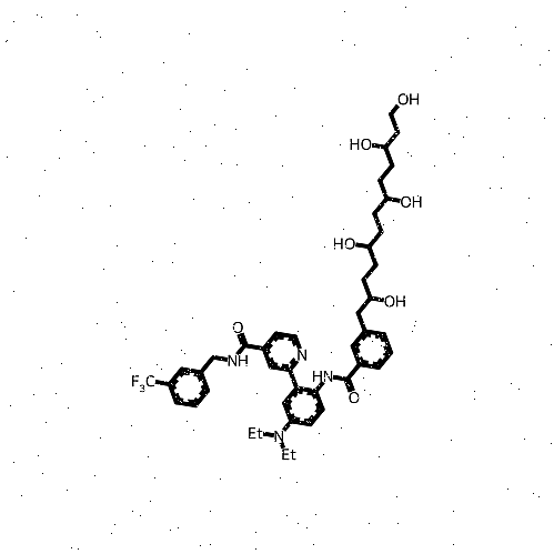 CCN(CC)c1ccc(NC(=O)c2cccc(CC(O)CCC(O)CCC(O)CCC(O)CCO)c2)c(-c2cc(C(=O)NCc3cccc(C(F)(F)F)c3)ccn2)c1